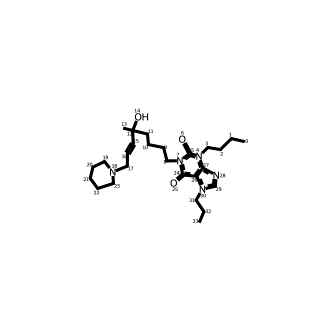 CCCCn1c(=O)n(CCCCC(C)(O)C#CCN2CCCCC2)c(=O)c2c1ncn2CCC